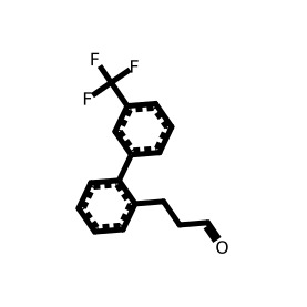 O=CCCc1ccccc1-c1cccc(C(F)(F)F)c1